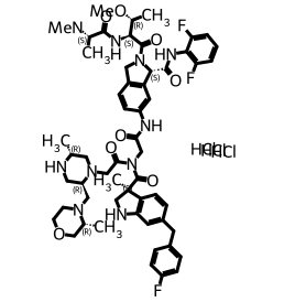 CN[C@@H](C)C(=O)N[C@H](C(=O)N1Cc2ccc(NC(=O)CN(C(=O)CN3C[C@@H](C)NC[C@@H]3CN3CCOC[C@H]3C)C(=O)[C@]3(C)CNc4cc(Cc5ccc(F)cc5)ccc43)cc2[C@H]1C(=O)Nc1c(F)cccc1F)[C@@H](C)OC.Cl.Cl.Cl